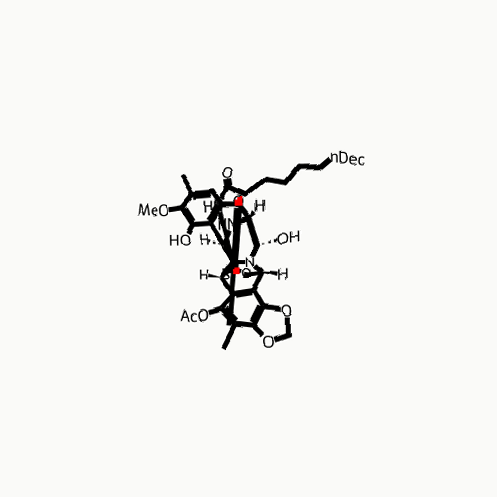 CCCCCCCCCCCCCCCC(=O)NC1CS[C@@H]2c3c(OC(C)=O)c(C)c4c(c3[C@H](COC1=O)N1C2[C@@H]2N[C@H](Cc3cc(C)c(OC)c(O)c32)[C@@H]1O)OCO4